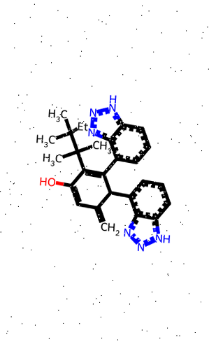 C=C1C=C(O)C(C(C)(C)C(C)(C)CC)=C(c2cccc3[nH]nnc23)C1c1cccc2[nH]nnc12